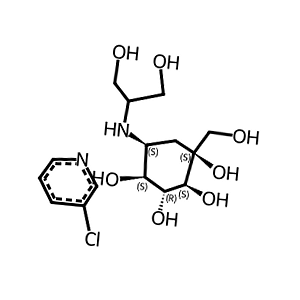 Clc1cccnc1.OCC(CO)N[C@H]1C[C@](O)(CO)[C@@H](O)[C@H](O)[C@H]1O